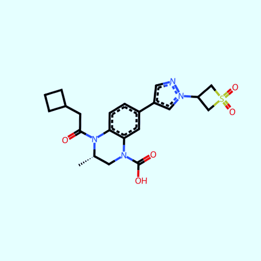 C[C@H]1CN(C(=O)O)c2cc(-c3cnn(C4CS(=O)(=O)C4)c3)ccc2N1C(=O)CC1CCC1